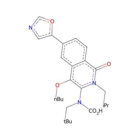 CCCCOc1c(N(CC(C)(C)C)C(=O)O)n(CC(C)C)c(=O)c2ccc(-c3cnco3)cc12